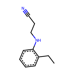 CCc1ccccc1NCCC#N